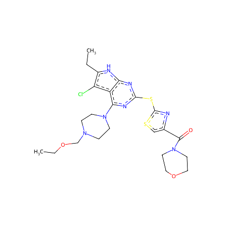 CCOCN1CCN(c2nc(Sc3nc(C(=O)N4CCOCC4)cs3)nc3[nH]c(CC)c(Cl)c23)CC1